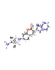 CN(C)C1[C@H]2CN(c3ccc4cc(-c5cn6cccnc6n5)c(=O)oc4c3)C[C@@H]12